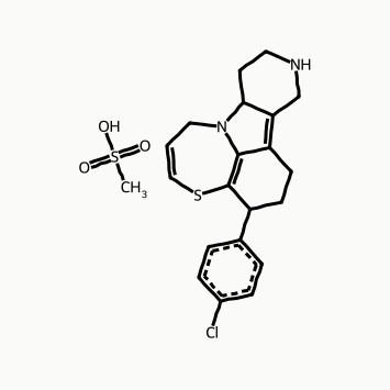 CS(=O)(=O)O.Clc1ccc(C2CCC3=C4CNCCC4N4CC=CSC2=C34)cc1